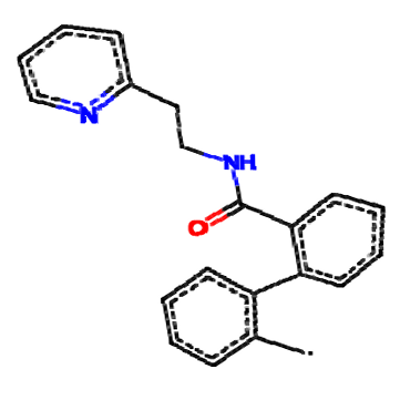 [CH2]c1ccccc1-c1ccccc1C(=O)NCCc1ccccn1